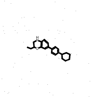 CCC1CNc2ccc(-c3ccc(C4CCCCC4)cc3)cc2O1